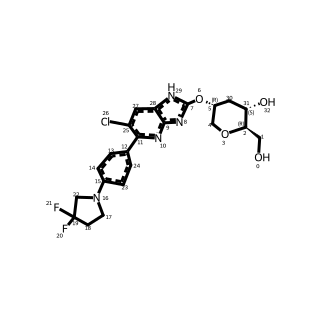 OC[C@H]1OC[C@H](Oc2nc3nc(-c4ccc(N5CCC(F)(F)C5)cc4)c(Cl)cc3[nH]2)C[C@@H]1O